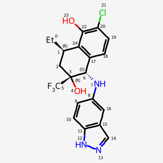 CC[C@@H]1C[C@](O)(C(F)(F)F)[C@@H](Nc2ccc3[nH]ncc3c2)c2ccc(Cl)c(O)c21